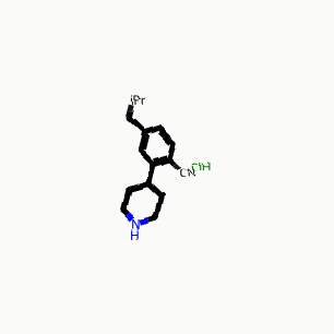 CC(C)Cc1ccc(C#N)c(C2CCNCC2)c1.Cl